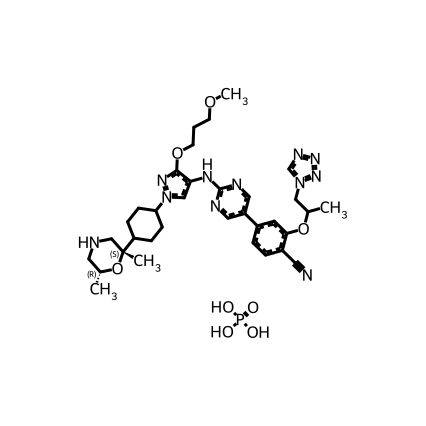 COCCCOc1nn(C2CCC([C@@]3(C)CNC[C@@H](C)O3)CC2)cc1Nc1ncc(-c2ccc(C#N)c(OC(C)Cn3cnnn3)c2)cn1.O=P(O)(O)O